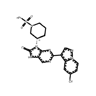 CCCS(=O)(=O)N1CCC[C@H](n2c(=O)[nH]c3cnc(-c4cnn5ccc(C#N)cc45)nc32)C1